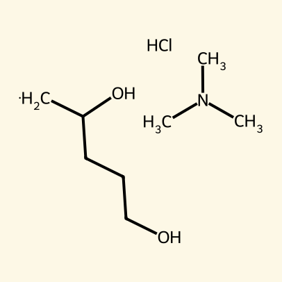 CN(C)C.Cl.[CH2]C(O)CCCO